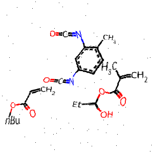 C=C(C)C(=O)OC(O)CC.C=CC(=O)OCCCC.Cc1ccc(N=C=O)cc1N=C=O